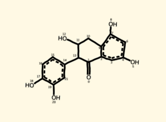 O=C1c2cc(O)cc(O)c2CC(O)C1c1ccc(O)c(O)c1